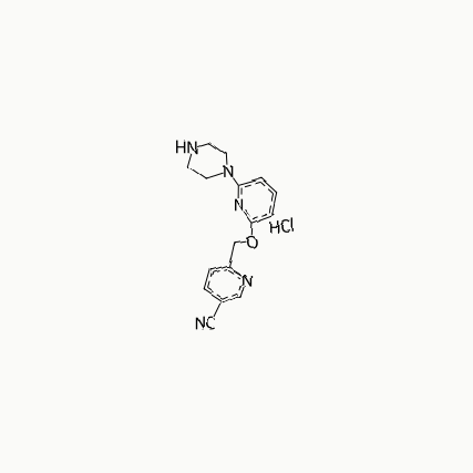 Cl.N#Cc1ccc(COc2cccc(N3CCNCC3)n2)nc1